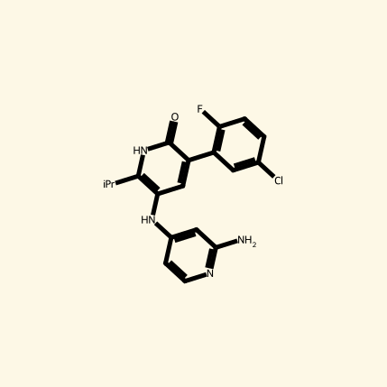 CC(C)c1[nH]c(=O)c(-c2cc(Cl)ccc2F)cc1Nc1ccnc(N)c1